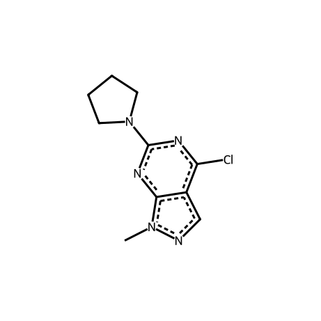 Cn1ncc2c(Cl)nc(N3CCCC3)nc21